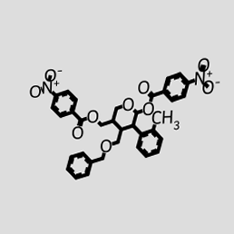 Cc1ccccc1C1C(OC(=O)c2ccc([N+](=O)[O-])cc2)OCC(COC(=O)c2ccc([N+](=O)[O-])cc2)C1COCc1ccccc1